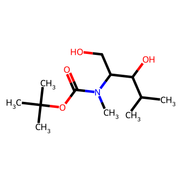 CC(C)C(O)C(CO)N(C)C(=O)OC(C)(C)C